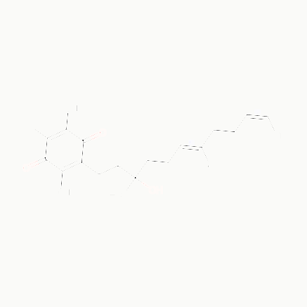 C/C=C\CC/C(C)=C/CCC(C)(O)CCC1=C(C)C(=O)C(C)=C(C)C1=O